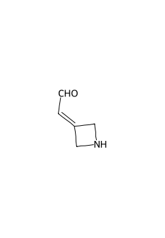 O=CC=C1CNC1